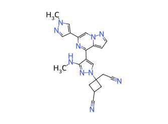 CNc1nn(C2(CC#N)CC(C#N)C2)cc1-c1nc(-c2cnn(C)c2)cn2nccc12